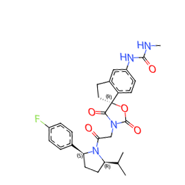 CNC(=O)Nc1ccc2c(c1)CC[C@@]21OC(=O)N(CC(=O)N2[C@@H](C(C)C)CC[C@H]2c2ccc(F)cc2)C1=O